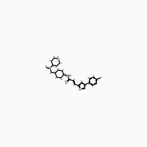 Cc1ccc(-c2coc(C=CC(=O)NC3CCC(CN(C)C4CCOCC4)CC3)c2)cc1